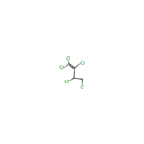 ClCC(Cl)C(Cl)=C(Cl)Cl